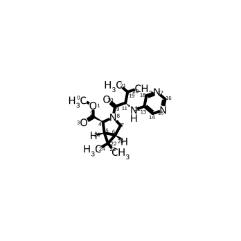 COC(=O)[C@@H]1[C@@H]2[C@H](CN1C(=O)[C@@H](Nc1cncnc1)C(C)C)C2(C)C